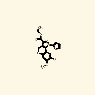 CCOC(=O)c1nn(-c2cccs2)c2c1COc1cc(OC)c(Br)cc1-2